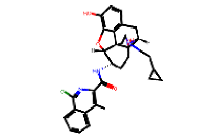 Cc1c(C(=O)N[C@H]2CC[C@@]3(O)[C@H]4Cc5ccc(O)c6c5[C@@]3(CCN4CC3CC3)[C@H]2O6)nc(Cl)c2ccccc12